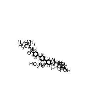 C[N+](C)(C)CCNC(=O)c1ccc(-c2ccc(-c3cc4nc(O[C@@H]5CO[C@H]6[C@@H]5OC[C@H]6O)[nH]c4cc3Cl)cc2)cc1.O=C([O-])O